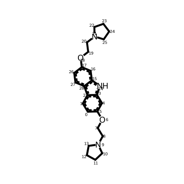 c1cc2c(cc1OCCN1CCCC1)[nH]c1cc(OCCN3CCCC3)ccc12